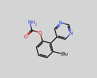 CC(C)(C)c1cccc(OC(N)=O)c1-c1cncnc1